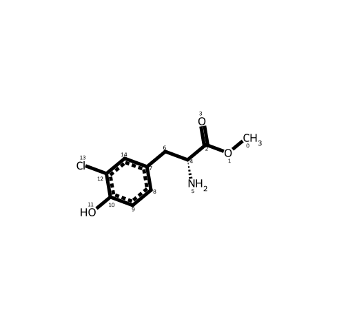 COC(=O)[C@H](N)Cc1ccc(O)c(Cl)c1